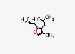 C=CCc1occ(C)c1CC(C)C